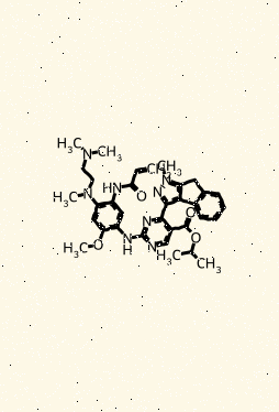 C=CC(=O)Nc1cc(Nc2ncc(C(=O)OC(C)C)c(-c3nn(C)c4c3-c3ccccc3C4)n2)c(OC)cc1N(C)CCN(C)C